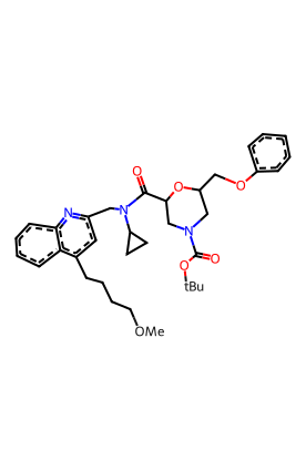 COCCCCc1cc(CN(C(=O)C2CN(C(=O)OC(C)(C)C)CC(COc3ccccc3)O2)C2CC2)nc2ccccc12